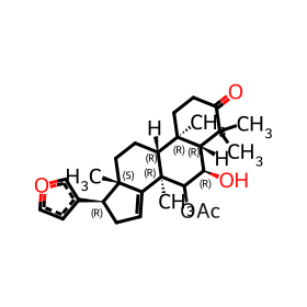 CC(=O)OC1[C@H](O)[C@H]2C(C)(C)C(=O)CC[C@]2(C)[C@H]2CC[C@]3(C)C(=CC[C@H]3c3ccoc3)[C@]12C